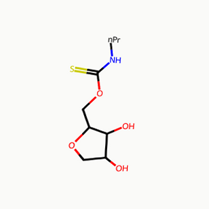 CCCNC(=S)OCC1OCC(O)C1O